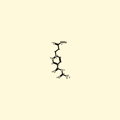 CNC(=O)CC[n+]1ccc(C(=O)OC(=O)C(F)(F)F)cn1